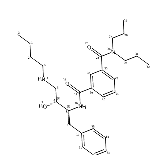 CCCCNC[C@@H](O)[C@H](Cc1ccccc1)NC(=O)c1cccc(C(=O)N(CCC)CCC)c1